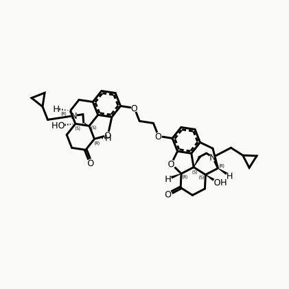 O=C1CC[C@@]2(O)[C@H]3Cc4ccc(OCCOc5ccc6c7c5O[C@H]5C(=O)CC[C@@]8(O)[C@@H](C6)N(CC6CC6)CC[C@]758)c5c4[C@@]2(CCN3CC2CC2)[C@H]1O5